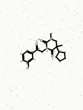 CN1CC(C)(C2CCCC2)C(=O)N(CC(=O)c2cccc(F)c2)C1=O